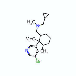 COC1(c2cncc(Br)c2)C(C)CCCC1CN(C)CC1CC1